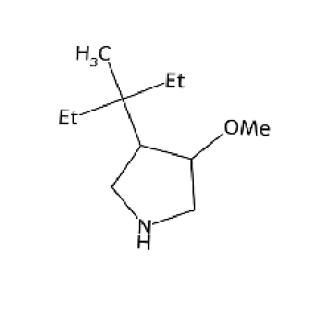 CCC(C)(CC)C1CNCC1OC